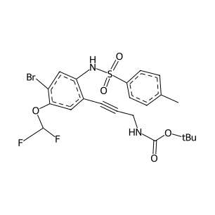 Cc1ccc(S(=O)(=O)Nc2cc(Br)c(OC(F)F)cc2C#CCNC(=O)OC(C)(C)C)cc1